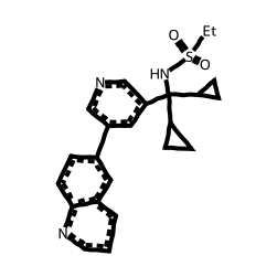 CCS(=O)(=O)NC(c1cncc(-c2ccc3ncccc3c2)c1)(C1CC1)C1CC1